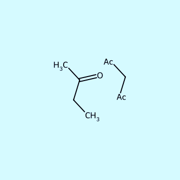 CC(=O)CC(C)=O.CCC(C)=O